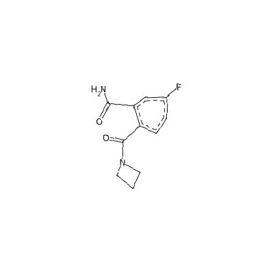 NC(=O)c1cc(F)ccc1C(=O)N1CCC1